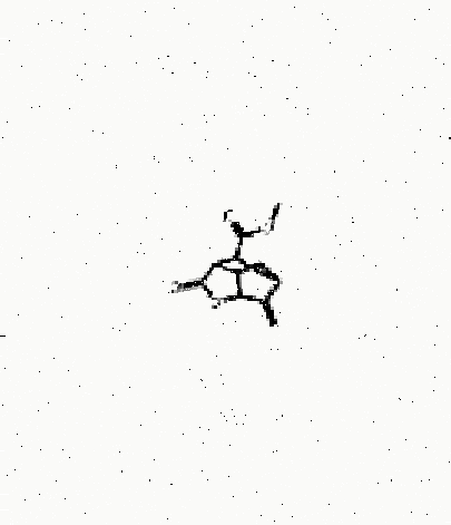 C=C1C2CC3C1OC(=O)C3C2C(=O)OC